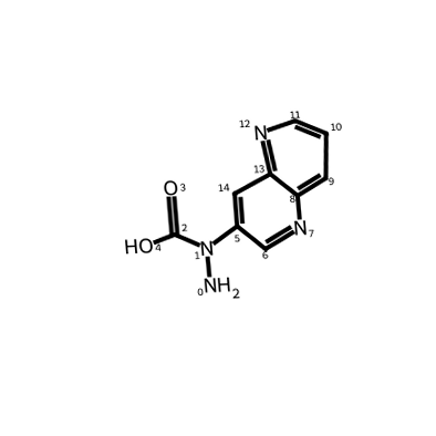 NN(C(=O)O)c1cnc2cccnc2c1